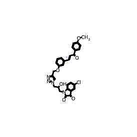 COc1ccc(C(=O)/C=C/c2cccc(OCc3cn(CC(O)CN4C(=O)C(=O)c5cc(Cl)ccc54)nn3)c2)cc1